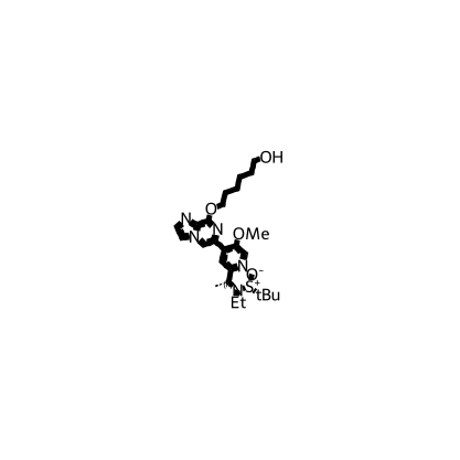 CCN([C@H](C)c1cc(-c2cn3ccnc3c(OCCCCCCO)n2)c(OC)cn1)[S+]([O-])C(C)(C)C